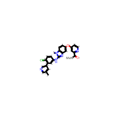 CNC(=O)c1cc(Oc2ccc3c(c2)nc(Nc2ccc(Cl)c(-c4cncc(C)c4)c2)n3C)ccn1